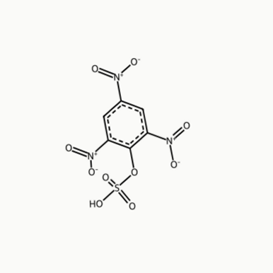 O=[N+]([O-])c1cc([N+](=O)[O-])c(OS(=O)(=O)O)c([N+](=O)[O-])c1